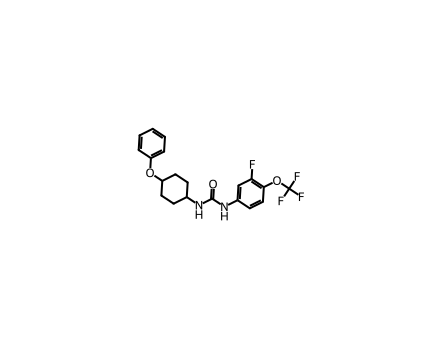 O=C(Nc1ccc(OC(F)(F)F)c(F)c1)NC1CCC(Oc2ccccc2)CC1